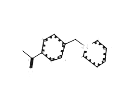 CC(=O)c1ccc(C[n+]2ccccc2)cc1